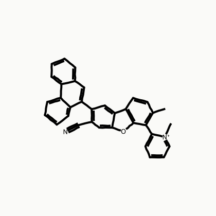 Cc1ccc2c(oc3cc(C#N)c(-c4cc5ccccc5c5ccccc45)cc32)c1-c1cccc[n+]1C